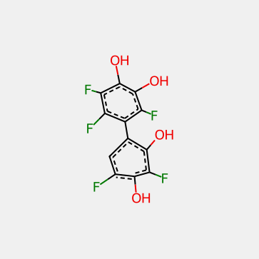 Oc1c(F)cc(-c2c(F)c(O)c(O)c(F)c2F)c(O)c1F